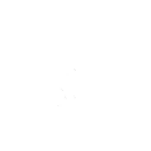 CCCCn1ncc(C(=O)NCC2CCOC2)n1